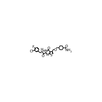 NC(=O)C1CCC(COCc2csc3nc(C(=O)NCc4ccc(F)c(Cl)c4)[nH]c(=O)c23)CC1